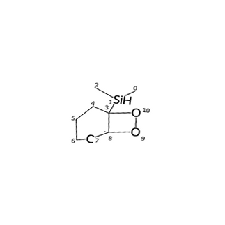 C[SiH](C)C12CCCC[C]1OO2